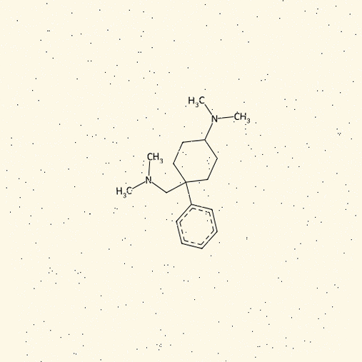 CN(C)CC1(c2ccccc2)CCC(N(C)C)CC1